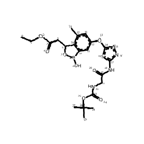 CCOC(=O)CC1OB(O)c2cc(Oc3nnc(NC(=O)CNC(=O)OC(C)(C)C)s3)cc(C)c21